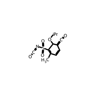 CC1=C(S(=O)(=O)N=C=O)C(OC(C)C)C(=C=O)C=C1